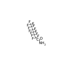 NC(=O)CC(F)(F)C(F)(F)C(F)(F)C(F)(F)C(F)(F)C(F)(F)F